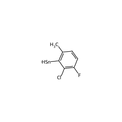 Cc1ccc(F)c(Cl)[c]1[SnH]